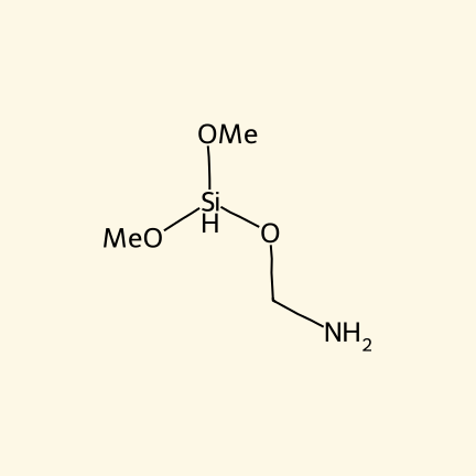 CO[SiH](OC)OCN